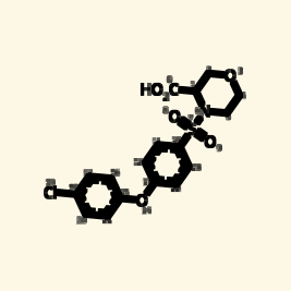 O=C(O)C1COCCN1S(=O)(=O)c1ccc(Oc2ccc(Cl)cc2)cc1